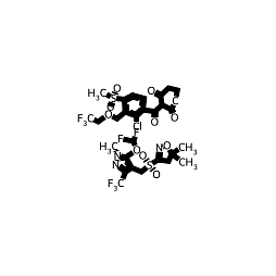 CS(=O)(=O)c1ccc(C(=O)C2C(=O)CCCC2=O)c(Cl)c1COCC(F)(F)F.Cn1nc(C(F)(F)F)c(CS(=O)(=O)C2=NOC(C)(C)C2)c1OC(F)F